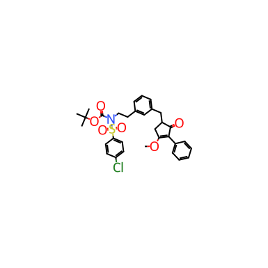 COC1=C(c2ccccc2)C(=O)C(Cc2cccc(CCN(C(=O)OC(C)(C)C)S(=O)(=O)c3ccc(Cl)cc3)c2)C1